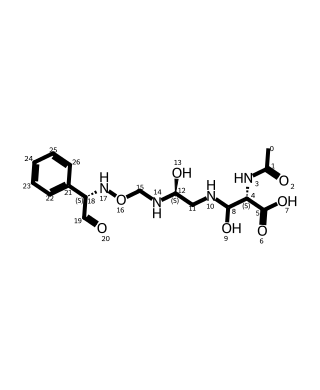 CC(=O)N[C@H](C(=O)O)C(O)NC[C@H](O)NCON[C@H](C=O)c1ccccc1